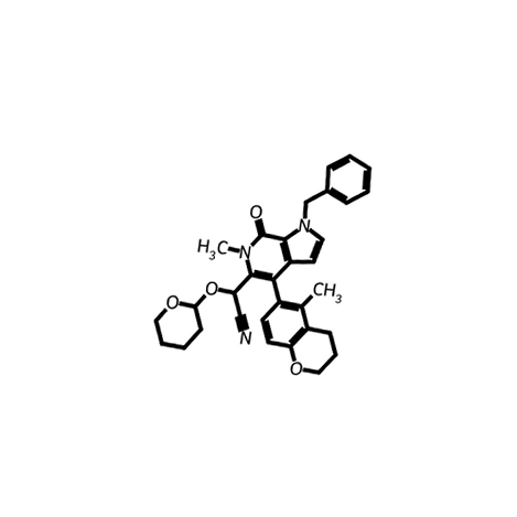 Cc1c(-c2c(C(C#N)OC3CCCCO3)n(C)c(=O)c3c2ccn3Cc2ccccc2)ccc2c1CCCO2